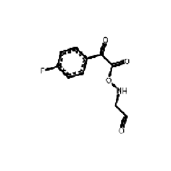 O=CCNOC(=O)C(=O)c1ccc(F)cc1